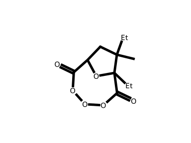 CCC1(C)CC2OC1(CC)C(=O)OOOC2=O